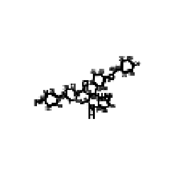 CC1=C(C(=O)N2CCN(c3ccc(F)cc3)CC2)C(c2cccc(OCc3ccccc3)c2)n2nccc2N1